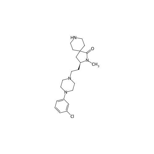 CN1C(=O)C2(CCNCC2)C[C@@H]1CCN1CCN(c2cccc(Cl)c2)CC1